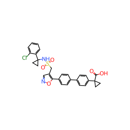 O=C(O)C1(c2ccc(-c3ccc(-c4oncc4CS(=O)(=O)NC4(c5ccccc5Cl)CC4)cc3)cc2)CC1